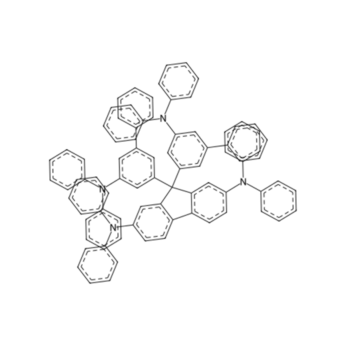 c1ccc(-c2cc(N(c3ccccc3)c3ccccc3)cc(C3(c4cc(-c5ccccc5)cc(N(c5ccccc5)c5ccccc5)c4)c4cc(N(c5ccccc5)c5ccccc5)ccc4-c4ccc(N(c5ccccc5)c5ccccc5)cc43)c2)cc1